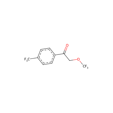 O=C(COC(F)(F)F)c1ccc(C(F)(F)F)cc1